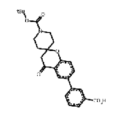 CC(C)(C)OC(=O)N1CCC2(CC1)CC(=O)c1cc(-c3cccc(C(=O)O)c3)ccc1O2